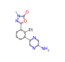 CCc1c(-c2cnc(N)cn2)cccc1-c1nn(C)c(=O)o1